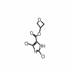 O=C(OC1COC1)c1[nH]c(Cl)nc1Cl